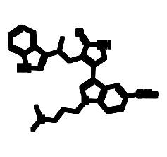 COc1ccc2c(c1)c(C1=C(CC(C)c3c[nH]c4ccccc34)C(=O)NC1)cn2CCCN(C)C